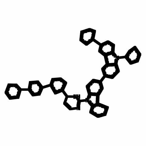 C1=CC(c2cccc(-c3ccc(-c4ccccc4)cc3)c2)NC(n2c3ccccc3c3cc(-c4ccc5c(c4)c4cc(-c6ccccc6)ccc4n5-c4ccccc4)ccc32)=N1